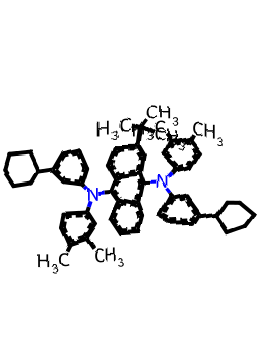 Cc1ccc(N(c2cccc(C3CCCCC3)c2)c2c3ccccc3c(N(c3cccc(C4CCCCC4)c3)c3ccc(C)c(C)c3)c3cc(C(C)(C)C)ccc23)cc1C